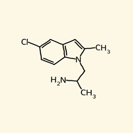 Cc1cc2cc(Cl)ccc2n1CC(C)N